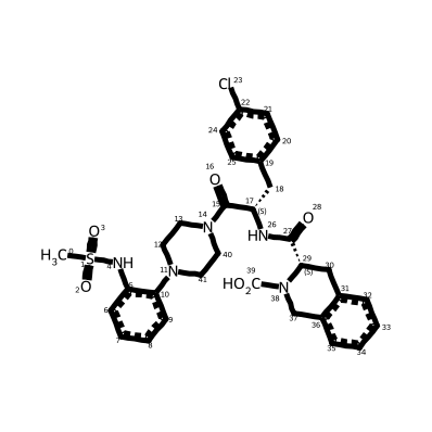 CS(=O)(=O)Nc1ccccc1N1CCN(C(=O)[C@H](Cc2ccc(Cl)cc2)NC(=O)[C@@H]2Cc3ccccc3CN2C(=O)O)CC1